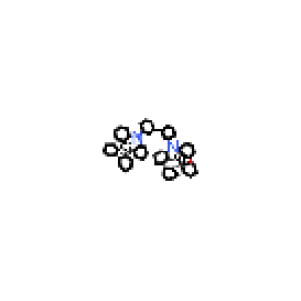 c1ccc([Si]2(c3ccccc3)c3ccccc3N(c3cccc(-c4cccc(N5c6ccccc6[Si](c6ccccc6)(c6ccccc6)c6ccccc65)c4)c3)c3ccccc32)cc1